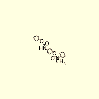 CN(C(=O)Oc1ccc(NC(=O)COc2ccccc2)cc1)c1ccccc1